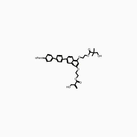 C=C(CO)C(=O)OCCOc1cc(OCCOC(=O)C(C)(C)CO)c2ccc(-c3ccc(-c4ccc(CCCCC)cc4)cc3)cc2c1